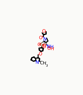 Cc1cc(COc2ccc(S(=O)(=O)C[C@H]3[C@@H](C(=O)NO)CCN3C(=O)c3ccoc3)cc2)c2ccccc2n1